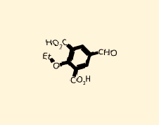 CCOc1c(C(=O)O)cc(C=O)cc1C(=O)O